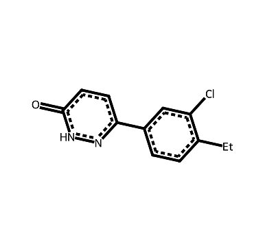 CCc1ccc(-c2ccc(=O)[nH]n2)cc1Cl